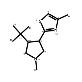 Cc1csc(C2CN(C)CC2C(C)(C)C)n1